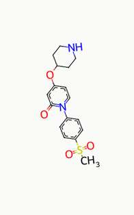 CS(=O)(=O)c1ccc(-n2ccc(OC3CCNCC3)cc2=O)cc1